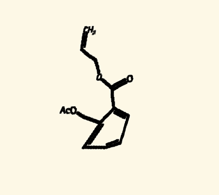 C=CCOC(=O)c1ccccc1OC(C)=O